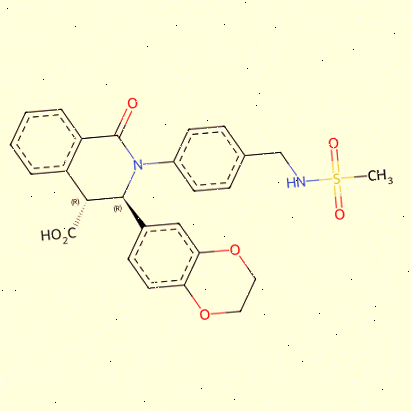 CS(=O)(=O)NCc1ccc(N2C(=O)c3ccccc3[C@@H](C(=O)O)[C@@H]2c2ccc3c(c2)OCCO3)cc1